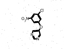 O=[N+]([O-])c1cc(Cl)cc(Oc2cncnc2)c1